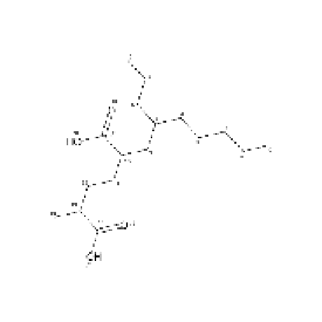 CCCCCC(CCC)CC(CCC(C)C(=O)O)C(=O)O